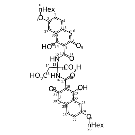 CCCCCCOc1ccc2sc(=O)c(C(=O)NC(CC(=O)O)(NC(=O)c3c(O)c4cc(OCCCCCC)ccc4sc3=O)C(=O)O)c(O)c2c1